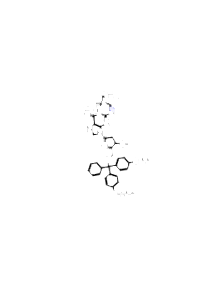 COc1ccc(C(OC[C@H]2O[C@@H](n3cnc4c(=O)[nH]c(/N=C\N(C)C)nc43)CC2O)(c2ccccc2)c2ccc(OC)cc2)cc1